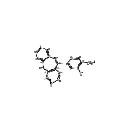 CCc1cc(C2=Nc3ccccc3Oc3cnccc32)ccc1C(=O)O